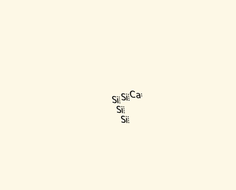 [Ca].[Si].[Si].[Si].[Si]